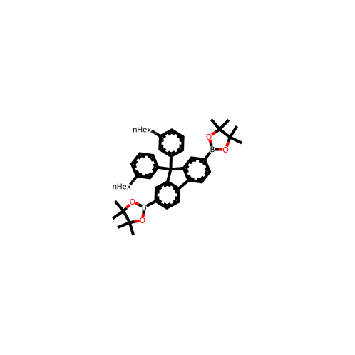 CCCCCCc1cccc(C2(c3cccc(CCCCCC)c3)c3cc(B4OC(C)(C)C(C)(C)O4)ccc3-c3ccc(B4OC(C)(C)C(C)(C)O4)cc32)c1